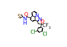 O=C(NC1CSC1)c1ccc(C2=NOC(c3cc(Cl)cc(Cl)c3)(C(F)(F)F)C2)c2ncccc12